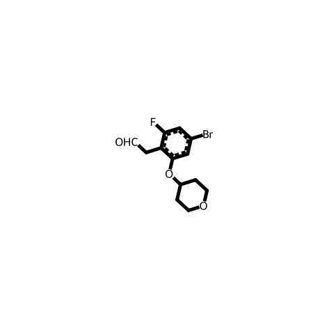 O=CCc1c(F)cc(Br)cc1OC1CCOCC1